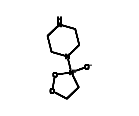 [O-][N+]1(N2CCNCC2)CCOO1